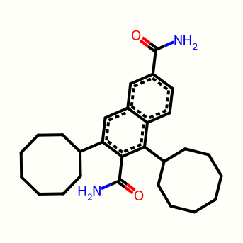 NC(=O)c1ccc2c(C3CCCCCCC3)c(C(N)=O)c(C3CCCCCCC3)cc2c1